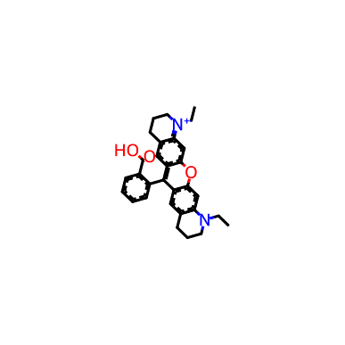 CCN1CCCc2cc3c(cc21)Oc1cc2c(cc1=C3c1ccccc1C(=O)O)CCC[N+]=2CC